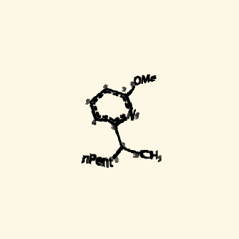 CCCCCC(C)c1cccc(OC)n1